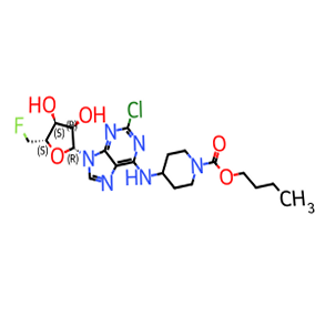 CCCCOC(=O)N1CCC(Nc2nc(Cl)nc3c2ncn3[C@@H]2O[C@H](CF)[C@@H](O)[C@H]2O)CC1